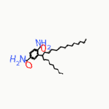 CCCCCCCCCCCCCC(CCCCCCCC)c1cc(C(N)=O)ccc1C(N)=O